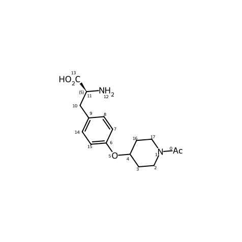 CC(=O)N1CCC(Oc2ccc(C[C@H](N)C(=O)O)cc2)CC1